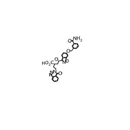 NC(=O)c1cccc(COc2ccc3c(C(=O)CC(CCn4nnc5ccccc5c4=O)C(=O)O)noc3c2)c1